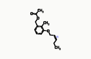 CC/C=C\COc1cccc(COC(C)=O)c1C